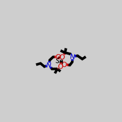 CCCN1CC[O][Sn]2([O]CCN(CCC)CC(C)(C)[O]2)[O]C(C)(C)C1